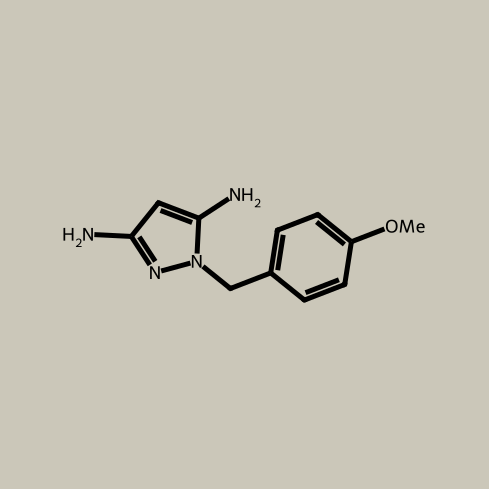 COc1ccc(Cn2nc(N)cc2N)cc1